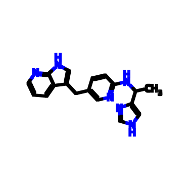 CC(Nc1ccc(Cc2c[nH]c3ncccc23)cn1)c1c[nH]cn1